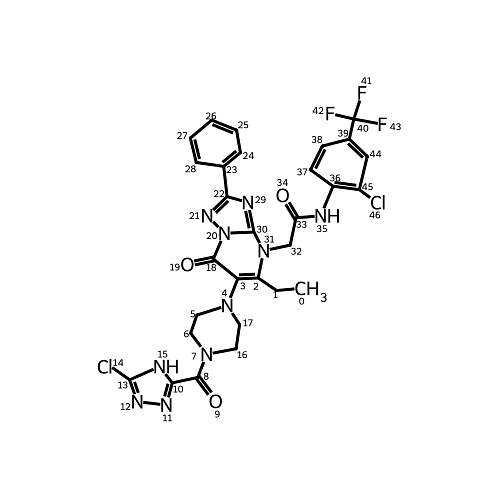 CCc1c(N2CCN(C(=O)c3nnc(Cl)[nH]3)CC2)c(=O)n2nc(-c3ccccc3)nc2n1CC(=O)Nc1ccc(C(F)(F)F)cc1Cl